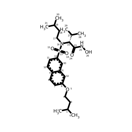 CC(C)CCOc1ccc2ccc(S(=O)(=O)N(CCC(C)C)[C@@H](C(=O)NO)C(C)C)cc2c1